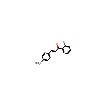 O=C(O)c1ccc(/C=C/C(=O)c2ccccc2Cl)cc1